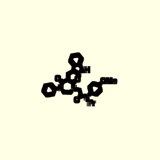 COc1ccc(N(C(=O)CN2C=CN(c3ccccc3)C(=O)/C(=C/c3n[nH]c4ccccc34)C2=O)C(C)C)cc1